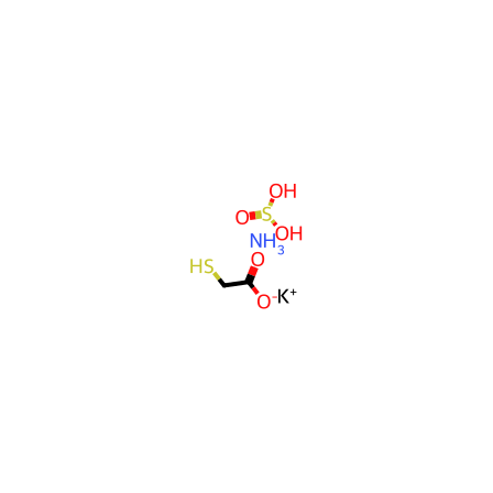 N.O=C([O-])CS.O=S(O)O.[K+]